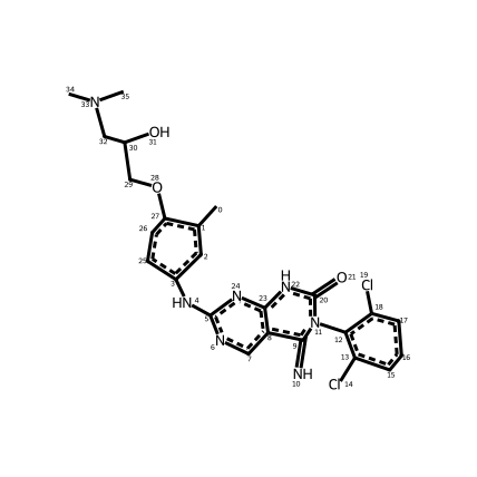 Cc1cc(Nc2ncc3c(=N)n(-c4c(Cl)cccc4Cl)c(=O)[nH]c3n2)ccc1OCC(O)CN(C)C